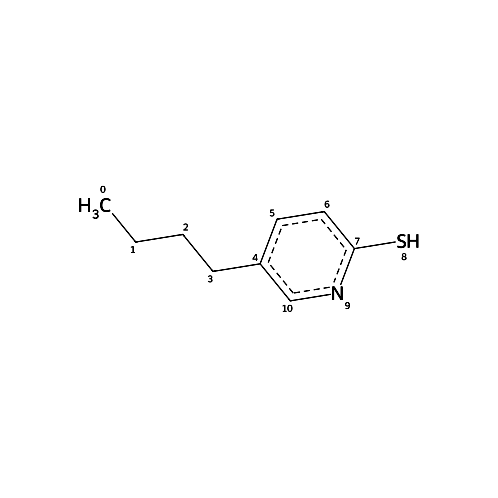 CCCCc1ccc(S)nc1